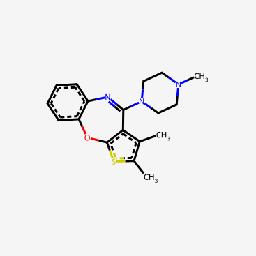 Cc1sc2c(c1C)C(N1CCN(C)CC1)=Nc1ccccc1O2